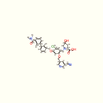 Cc1c(COc2cc(OCc3cncc(C#N)c3)c(CN3C[C@@H](O)C[C@H]3C(=O)O)cc2Cl)cccc1-c1cccc(C(=O)N(C)C)c1C